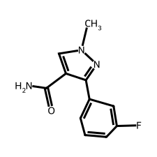 Cn1cc(C(N)=O)c(-c2cccc(F)c2)n1